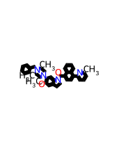 COc1cc2c(cc1N1CC(C)N(Cc3ccccc3)C(C)C1)N(C(=O)c1ccc(-c3cccc(C)n3)c3ccccc13)CC2